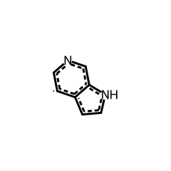 [c]1cncc2[nH]ccc12